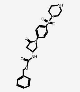 O=C(N[C@@H]1CC(=O)N(c2ccc(S(=O)(=O)N3CCNCC3)cc2)C1)OCc1ccccc1